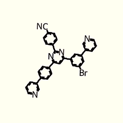 N#Cc1ccc(-c2nc(-c3ccc(-c4cccnc4)cc3)cc(-c3cc(Br)cc(-c4cccnc4)c3)n2)cc1